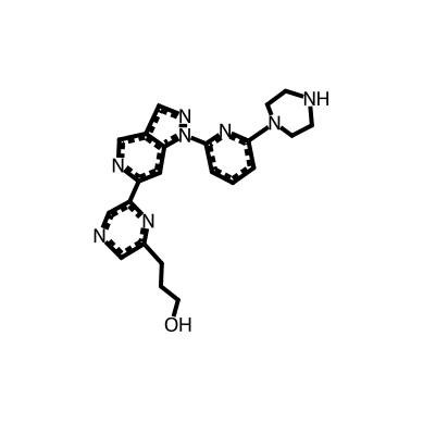 OCCCc1cncc(-c2cc3c(cn2)cnn3-c2cccc(N3CCNCC3)n2)n1